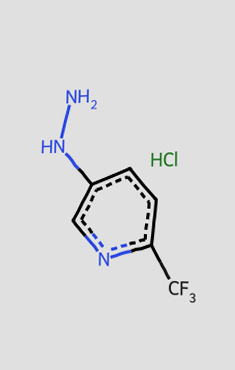 Cl.NNc1ccc(C(F)(F)F)nc1